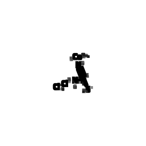 N#C[S-].[Cl-].[Cl-].[Co+2].[NH4+]